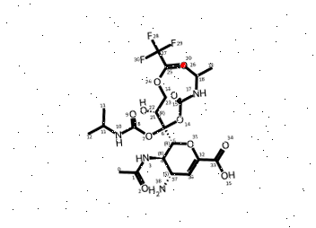 CC(=O)N[C@H]1[C@H](C(OC(=O)NC(C)C)(OC(=O)NC(C)C)[C@H](O)COC(=O)C(F)(F)F)OC(C(=O)O)=C[C@@H]1N